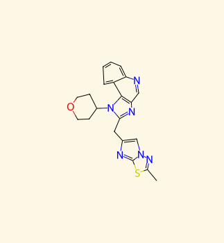 Cc1nn2cc(Cc3nc4cnc5ccccc5c4n3C3CCOCC3)nc2s1